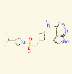 CN(c1ncnc2[nH]ccc12)[C@H]1C[C@@H](CS(=O)(=O)N2CC(C(F)F)C2)C1